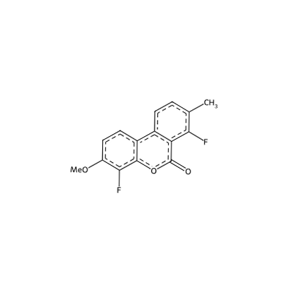 COc1ccc2c(oc(=O)c3c(F)c(C)ccc32)c1F